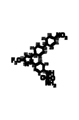 NS(=O)(=O)Nc1ccc(-n2nc(C(F)(F)F)cc2-c2ccc(-c3ccc([N+](=O)[O-])cc3)cc2)cc1